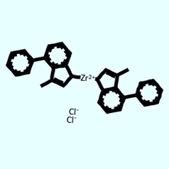 CC1=C[CH]([Zr+2][CH]2C=C(C)c3c(-c4ccccc4)cccc32)c2cccc(-c3ccccc3)c21.[Cl-].[Cl-]